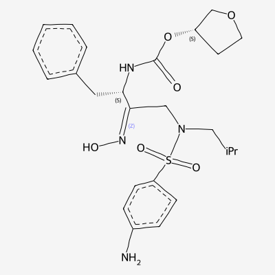 CC(C)CN(C/C(=N/O)[C@H](Cc1ccccc1)NC(=O)O[C@H]1CCOC1)S(=O)(=O)c1ccc(N)cc1